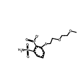 COCCOCCSc1cccc(S(N)(=O)=O)c1[N+](=O)[O-]